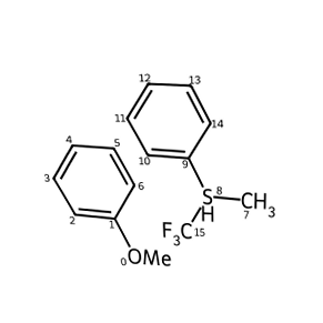 COc1ccccc1.C[SH](c1ccccc1)C(F)(F)F